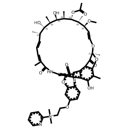 CO[C@H]1/C=C/O[C@@]2(C)Oc3c(C)c(O)c4c(=O)c(c5oc6cc(OCC[N+](C)(C)c7ccccn7)ccc6nc-5c4c3C2=O)NC(=O)/C(C)=C\C=C\[C@H](C)[C@H](O)[C@@H](C)[C@@H](O)[C@@H](C)[C@H](OC(C)=O)[C@@H]1C